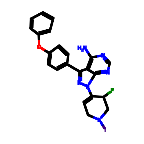 Nc1ncnc2c1c(-c1ccc(Oc3ccccc3)cc1)nn2C1=CCN(I)CC1F